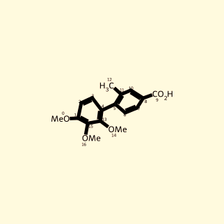 COc1ccc(-c2ccc(C(=O)O)cc2C)c(OC)c1OC